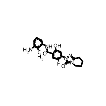 Cc1c(N)cccc1NC(=O)c1cc(F)c(-n2nc3n(c2=O)CCCC3)cc1O